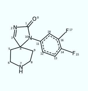 O=C1N=CC2(CCNCC2)N1c1ccc(F)c(F)c1